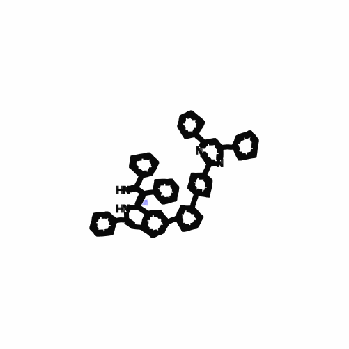 N=C(/C(=C1\NC(c2ccccc2)=Cc2ccc(-c3cccc(-c4ccc(-c5nc(-c6ccccc6)cc(-c6ccccc6)n5)cc4)c3)cc21)c1ccccc1)c1ccccc1